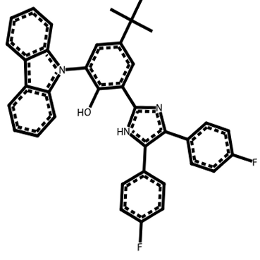 CC(C)(C)c1cc(-c2nc(-c3ccc(F)cc3)c(-c3ccc(F)cc3)[nH]2)c(O)c(-n2c3ccccc3c3ccccc32)c1